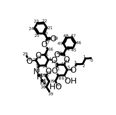 CCCCO[C@H]1[C@H](O)C(CO)OC(O[C@@H]2C(COC(=O)c3ccccc3)O[C@H](OC)C(N=[N+]=[N-])[C@H]2OCCCC)[C@H]1OC(=O)c1ccccc1